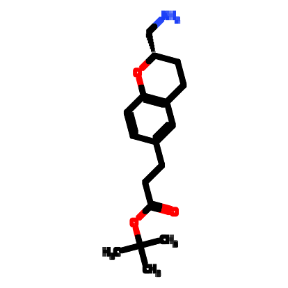 CC(C)(C)OC(=O)CCc1ccc2c(c1)CC[C@@H](CN)O2